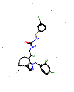 O=C(NC/C(F)=C1\CCCc2cnn(Cc3ccc(Cl)cc3Cl)c21)NSc1cccc(Cl)c1